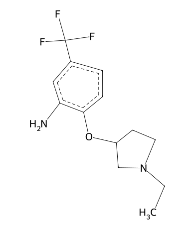 CCN1CCC(Oc2ccc(C(F)(F)F)cc2N)C1